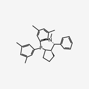 Cc1cc(C)cc(P(c2cc(C)cc(C)c2)C2CCC[C@@H]2[C@@H](c2ccccc2)N(C)C)c1